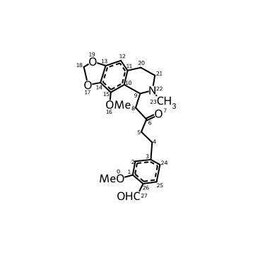 COc1cc(CCC(=O)CC2c3c(cc4c(c3OC)OCO4)CCN2C)ccc1C=O